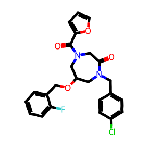 O=C1CN(C(=O)c2ccco2)CC(OCc2ccccc2F)CN1Cc1ccc(Cl)cc1